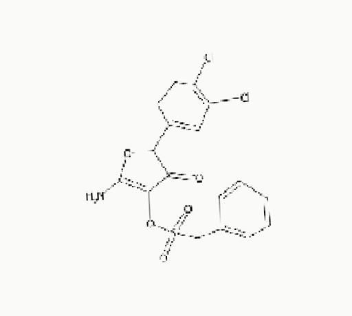 NC1=C(OS(=O)(=O)Cc2ccccc2)C(=O)C(C2=CC(Cl)=C(Cl)CC2)O1